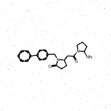 CCCC1CCCN1C(=O)CC1CCC(=O)N1Cc1ccc(-c2ccccc2)cc1